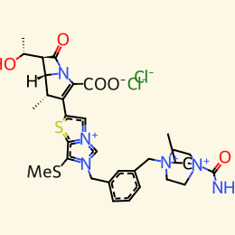 CSc1c2sc(C3=C(C(=O)[O-])N4C(=O)[C@H]([C@@H](C)O)[C@H]4[C@H]3C)c[n+]2cn1Cc1cccc(C[N+]23CC[N+](C(N)=O)(CC2)CC3C)c1.[Cl-].[Cl-]